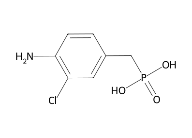 Nc1ccc(CP(=O)(O)O)cc1Cl